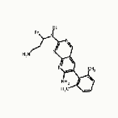 CCC(CCN)N(CC)c1ncc2cc(-c3c(C)cccc3C)c(N)nc2n1